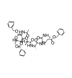 CC(=O)N[C@H]1[C@@H](OCc2ccccc2)O[C@@H]2CO[C@@H](c3ccccc3)O[C@H]2[C@@H]1O[C@H](C)C(=O)N[C@@H](C)C(=O)N[C@H](CCC(=O)OCc1ccccc1)C(N)=O